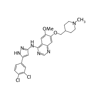 COc1cc2c(Nc3cc(-c4ccc(Cl)c(Cl)c4)[nH]n3)ncnc2cc1OCC1CCN(C)CC1